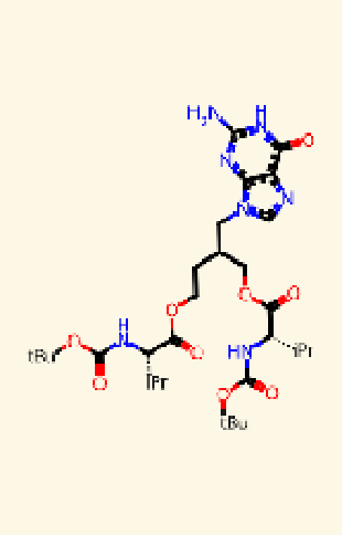 CC(C)[C@H](NC(=O)OC(C)(C)C)C(=O)OCCC(COC(=O)[C@@H](NC(=O)OC(C)(C)C)C(C)C)Cn1cnc2c(=O)[nH]c(N)nc21